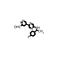 CC(Nc1cnc(-c2cnnc(C=O)c2)cn1)c1ccc(F)cc1